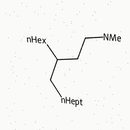 CCCCCCCCC(CCCCCC)CCNC